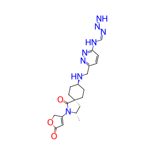 C[C@H]1C[C@]2(CC[C@H](NCc3ccc(N/C=N\N=N)nn3)CC2)C(=O)N1C1=CC(=O)OC1